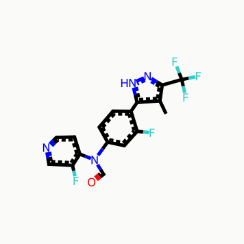 Cc1c(C(F)(F)F)n[nH]c1-c1ccc(N(C=O)c2ccncc2F)cc1F